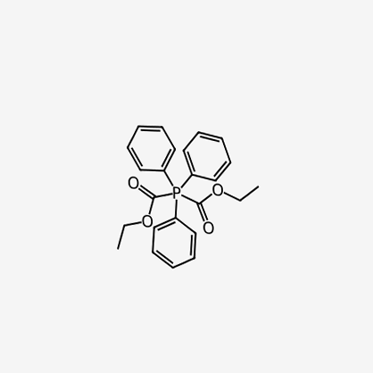 CCOC(=O)P(C(=O)OCC)(c1ccccc1)(c1ccccc1)c1ccccc1